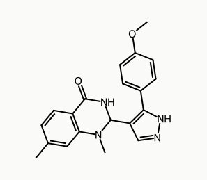 COc1ccc(-c2[nH]ncc2C2NC(=O)c3ccc(C)cc3N2C)cc1